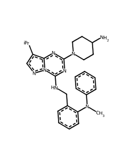 CC(C)c1cnn2c(NCc3ccccc3N(C)c3ccccc3)nc(N3CCC(N)CC3)nc12